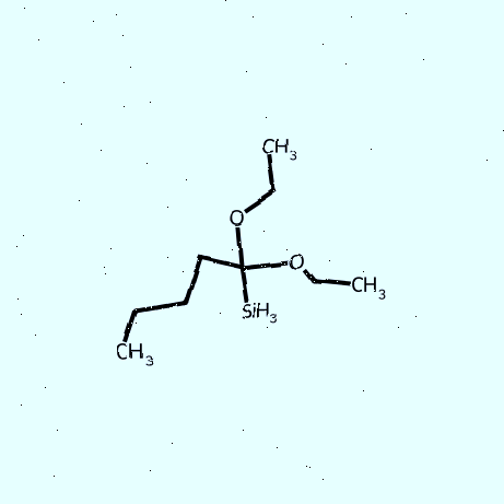 CCCCC([SiH3])(OCC)OCC